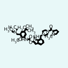 CCN(CC)Cc1cc(C(C)(C)C)cc(NC(=O)Oc2cc3cccc(CN4CCN(C(=O)[C@@H]5CCCN5C)CC4)c3n2C)c1OC